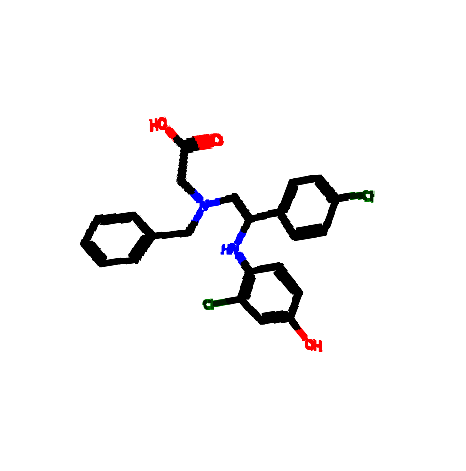 O=C(O)CN(Cc1ccccc1)CC(Nc1ccc(O)cc1Cl)c1ccc(Cl)cc1